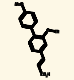 CCOc1cc(C=CC(=O)O)ccc1-c1ccc(OC)cc1